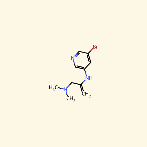 C=C(CN(C)C)Nc1cncc(Br)c1